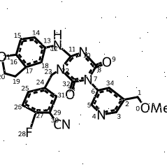 COCc1cncc(-n2c(=O)nc(Nc3ccc4c(c3)CCO4)n(Cc3ccc(F)c(C#N)c3)c2=O)c1